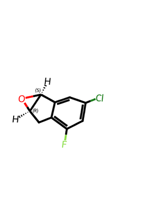 Fc1cc(Cl)cc2c1C[C@H]1O[C@@H]21